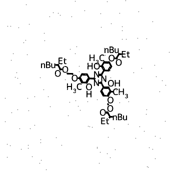 CCCCC(CC)C(=O)OCCOc1ccc(-c2nc(-c3ccc(OCOC(=O)C(CC)CCCC)c(C)c3O)nc(-c3ccc(OC(=O)C(CC)CCCC)c(C)c3O)n2)c(O)c1C